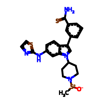 C[S+]([O-])N1CCC(n2cc(-c3cccc(C(N)=S)c3)c3ccc(Nc4nccs4)cc32)CC1